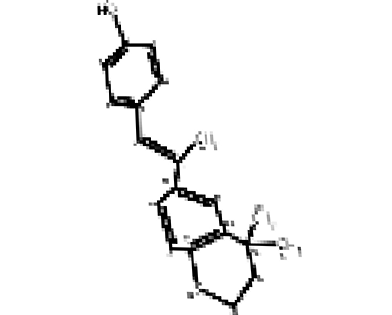 CC(=Cc1ccc(O)cc1)c1ccc2c(c1)C(C)(C)CCS2